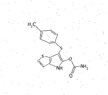 Cc1ccc(Sc2c(OC(N)=O)[nH]c3ccsc23)cc1